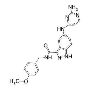 COc1ccc(CNC(=O)c2n[nH]c3ccc(Nc4ccnc(N)n4)cc23)cc1